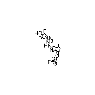 CCS(=O)(=O)CC1CN(c2ccc(C)c3cc(Nc4ccnc(N5C[C@@H](F)[C@@H](O)C(C)(C)C5)n4)ncc23)C1